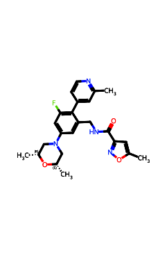 Cc1cc(-c2c(F)cc(N3C[C@@H](C)O[C@@H](C)C3)cc2CNC(=O)c2cc(C)on2)ccn1